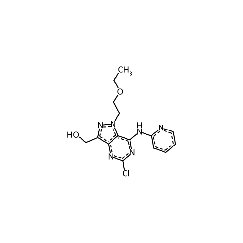 CCOCCn1nc(CO)c2nc(Cl)nc(Nc3ccccn3)c21